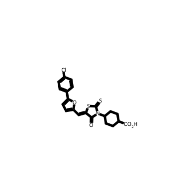 O=C(O)C1CCC(N2C(=O)C(=Cc3ccc(-c4ccc(Cl)cc4)o3)SC2=S)CC1